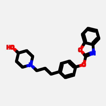 OC1CCN(CCCc2ccc(Oc3nc4ccccc4o3)cc2)CC1